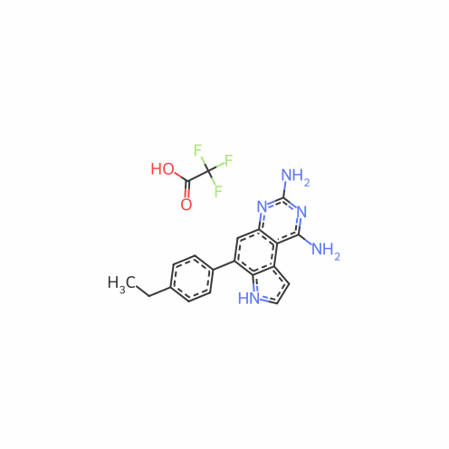 CCc1ccc(-c2cc3nc(N)nc(N)c3c3cc[nH]c23)cc1.O=C(O)C(F)(F)F